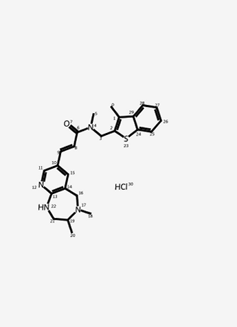 Cc1c(CN(C)C(=O)C=Cc2cnc3c(c2)CN(C)C(C)CN3)sc2ccccc12.Cl